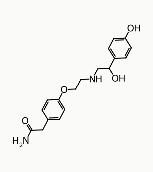 NC(=O)Cc1ccc(OCCNCC(O)c2ccc(O)cc2)cc1